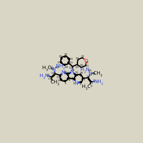 C/C(N)=C(\c1cnc2c3ccc(/C(=C(\C)N)N(C)N)nc3n(C(c3ccccc3)C3CCOCC3)c2c1)N(C)N